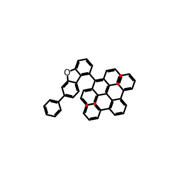 c1ccc(-c2ccc3c(c2)oc2cccc(-c4c5ccccc5c(-c5c(-c6ccccc6)cccc5-c5ccccc5)c5ccccc45)c23)cc1